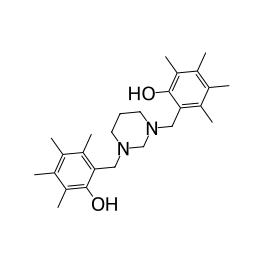 Cc1c(C)c(C)c(CN2CCCN(Cc3c(C)c(C)c(C)c(C)c3O)C2)c(O)c1C